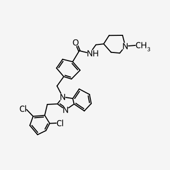 CN1CCC(CNC(=O)c2ccc(Cn3c(Cc4c(Cl)cccc4Cl)nc4ccccc43)cc2)CC1